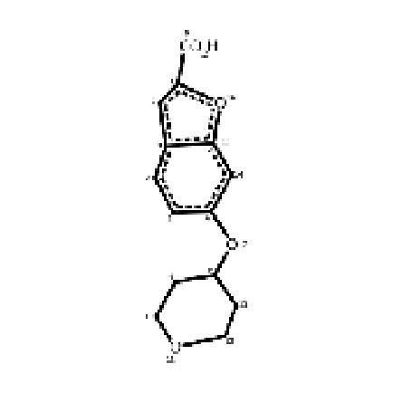 O=C(O)c1cc2ccc(OC3CCOCC3)cc2o1